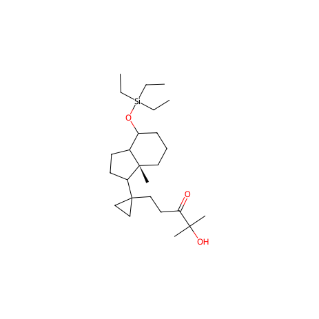 CC[Si](CC)(CC)OC1CCC[C@@]2(C)C1CCC2C1(CCC(=O)C(C)(C)O)CC1